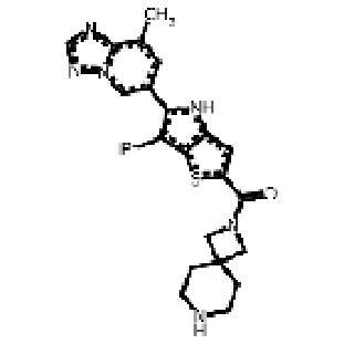 Cc1cc(-c2[nH]c3cc(C(=O)N4CC5(CCNCC5)C4)sc3c2C(C)C)cn2ncnc12